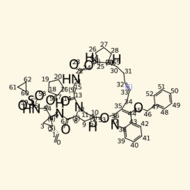 C=C[C@@H]1C[C@]1(NC(=O)[C@@H]1C[C@@H]2CN1C(=O)[C@H](C1CCCC1)NC(=O)O[C@@H]1CCC[C@H]1CC/C=C/Cc1c(nc3ccccc3c1OCc1ccccc1)O2)C(=O)NS(=O)(=O)C1CC1